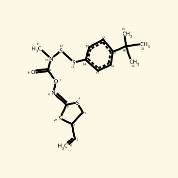 C=CC1CSC(=NOC(=O)N(C)SSc2ccc(C(C)(C)C)cc2)S1